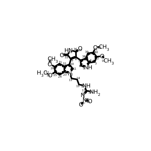 COc1cc2[nH]cc(C3=C(c4cn(CCCNC(N)=N[N+](=O)[O-])c5cc(OC)c(OC)cc45)C(=O)NC3=O)c2cc1OC